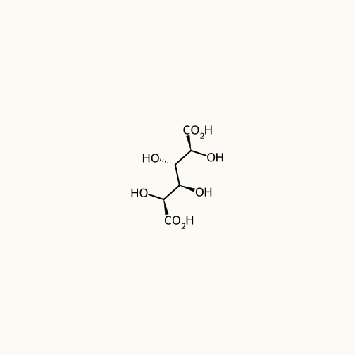 O=C(O)[C@@H](O)[C@H](O)[C@H](O)[C@H](O)C(=O)O